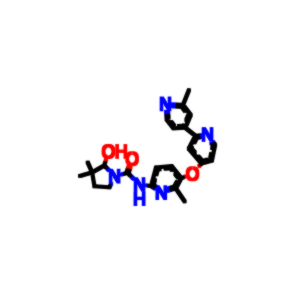 Cc1cc(-c2cc(Oc3ccc(NC(=O)N4CCC(C)(C)C4O)nc3C)ccn2)ccn1